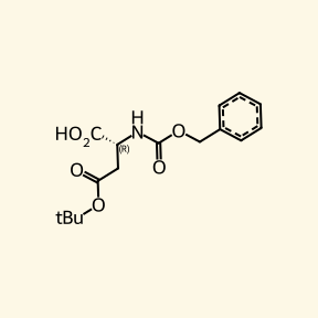 CC(C)(C)OC(=O)C[C@@H](NC(=O)OCc1ccccc1)C(=O)O